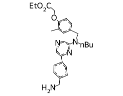 CCCCN(Cc1ccc(OCC(=O)OCC)c(C)c1)c1cncc(-c2ccc(CN)cc2)n1